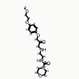 COCCOc1ccc(OCC(=O)CNCCNC(=O)N2CCOCC2)cc1